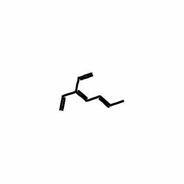 C=CC(C=C)=CC=CC